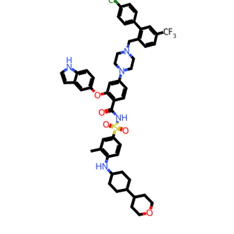 Cc1cc(S(=O)(=O)NC(=O)c2ccc(N3CCN(Cc4ccc(C(F)(F)F)cc4-c4ccc(Cl)cc4)CC3)cc2Oc2ccc3[nH]ccc3c2)ccc1NC1CCC(C2CCOCC2)CC1